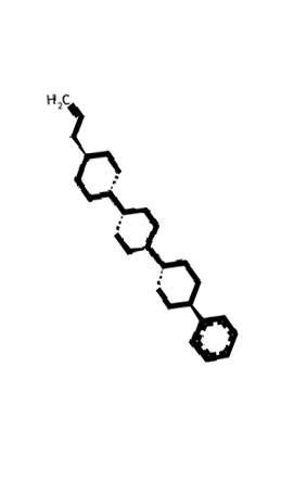 C=CC[C@H]1CC[C@H]([C@H]2CC[C@H]([C@H]3CC[C@H](c4ccccc4)CC3)CC2)CC1